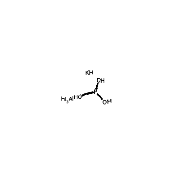 OP(O)O.[AlH3].[KH]